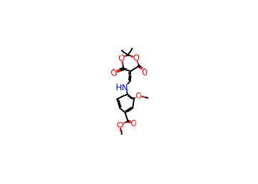 COC(=O)c1ccc(NC=C2C(=O)OC(C)(C)OC2=O)c(OC)c1